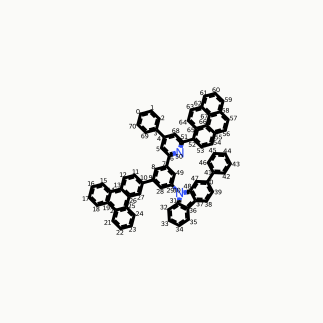 c1ccc(-c2cc(-c3cc(-c4ccc5c6ccccc6c6ccccc6c5c4)cc(-n4c5ccccc5c5ccc(-c6ccccc6)cc54)c3)nc(-c3ccc4ccc5cccc6ccc3c4c56)c2)cc1